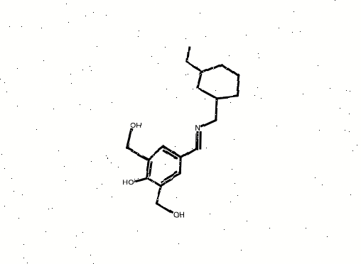 CCC1CCCC(CN=Cc2cc(CO)c(O)c(CO)c2)C1